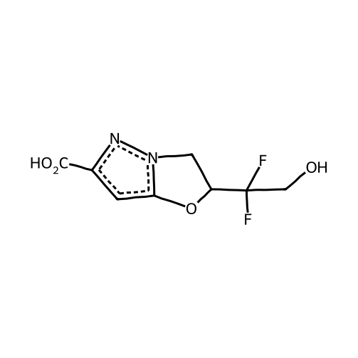 O=C(O)c1cc2n(n1)CC(C(F)(F)CO)O2